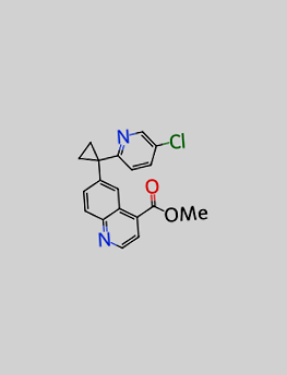 COC(=O)c1ccnc2ccc(C3(c4ccc(Cl)cn4)CC3)cc12